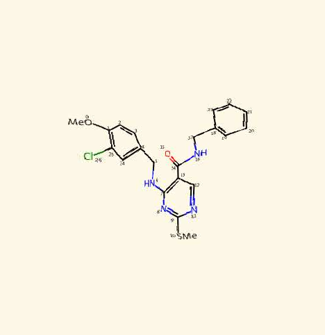 COc1ccc(CNc2nc(SC)ncc2C(=O)NCc2ccccc2)cc1Cl